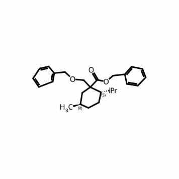 CC(C)[C@@H]1CC[C@@H](C)CC1(COCc1ccccc1)C(=O)OCc1ccccc1